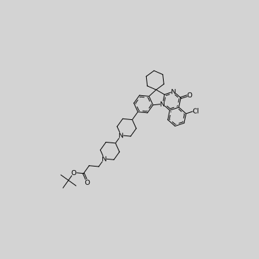 CC(C)(C)OC(=O)CCN1CCC(N2CCC(c3ccc4c(c3)-n3c(nc(=O)c5c(Cl)cccc53)C43CCCCC3)CC2)CC1